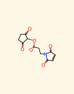 O=C(CCN1C(=O)C=CC1=O)OC1C(=O)CCC1=O